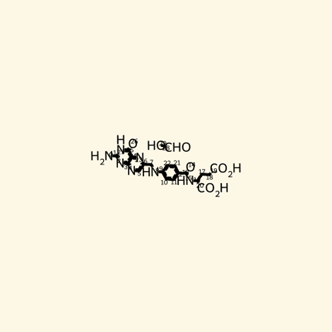 Nc1nc2ncc(CNc3ccc(C(=O)NC(CCC(=O)O)C(=O)O)cc3)nc2c(=O)[nH]1.O=CO